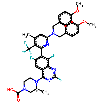 COc1ccc(CN(Cc2ccc(OC)cc2)c2cc(C)c(C(F)(F)F)c(-c3c(F)cc4c(N5CCN(C(=O)O)C[C@@H]5C)nc(F)nc4c3F)n2)cc1